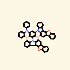 c1ccc(N2c3ccccc3B3c4c2cc2c5c4-n4c6c3cccc6c3c6oc7ccccc7c6cc(c34)B5c3cc4c5ccccc5oc4c4c5ccccc5n-2c34)cc1